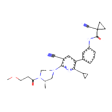 COCCC(=O)N1CCN(c2nc(C3CC3)c(-c3cccc(NC(=O)C4(C#N)CC4)c3)cc2C#N)C[C@H]1C